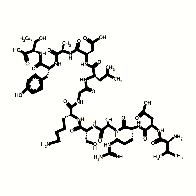 CC(C)C[C@@H](NC(=O)CNC(=O)[C@@H](CCCCN)NC(=O)[C@@H](CO)NC(=O)[C@@H](C)NC(=O)[C@@H](CCCNC(=N)N)NC(=O)[C@@H](CC(=O)O)NC(=O)[C@@H](N)C(C)C)C(=O)N[C@H](CC(=O)O)C(=O)N[C@H](C)C(=O)N[C@H](Cc1ccc(O)cc1)C(=O)N[C@@H](C(=O)O)[C@H](C)O